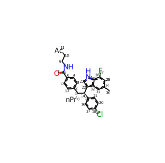 CCC[C@H](c1ccc(C(=O)NCCC(C)=O)cc1)[C@H](c1ccc(Cl)cc1)c1c[nH]c2c(F)cc(C)cc12